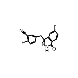 N#Cc1cc(Cc2n[nH]c(=O)c3ccc(F)cc23)ccc1F